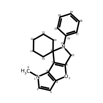 Cn1ccc2oc3c(c21)C1(CCCCC1)N(c1ccccc1)C3